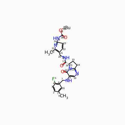 Cc1ccc(F)c(CNc2cnc3n(c2=O)[C@H](C(=O)NCc2ccc(NC(=O)OC(C)(C)C)nc2C)CC3)c1